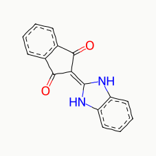 O=C1C(=C2Nc3ccccc3N2)C(=O)c2ccccc21